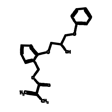 C=C(C)C(=O)OCc1ccccc1OCC(O)COc1ccccc1